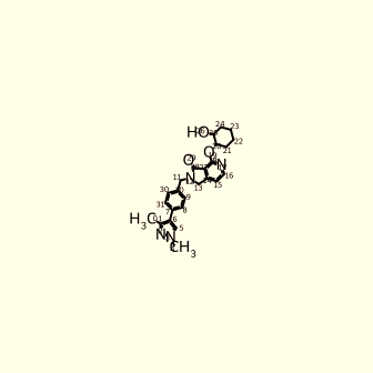 Cc1nn(C)cc1-c1ccc(CN2Cc3ccnc(OC4CCCCC4O)c3C2=O)cc1